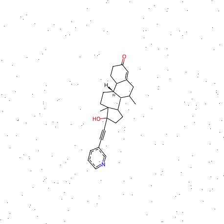 CC1CC2=CC(=O)CCC2[C@H]2CCC3(C)C(CCC3(O)C#Cc3cccnc3)C12